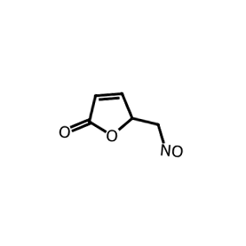 O=NCC1C=CC(=O)O1